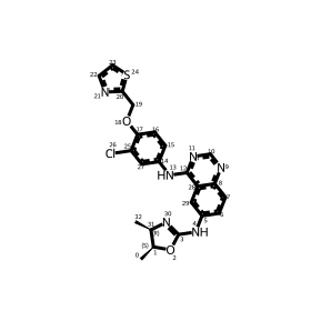 C[C@@H]1OC(Nc2ccc3ncnc(Nc4ccc(OCc5nccs5)c(Cl)c4)c3c2)=N[C@@H]1C